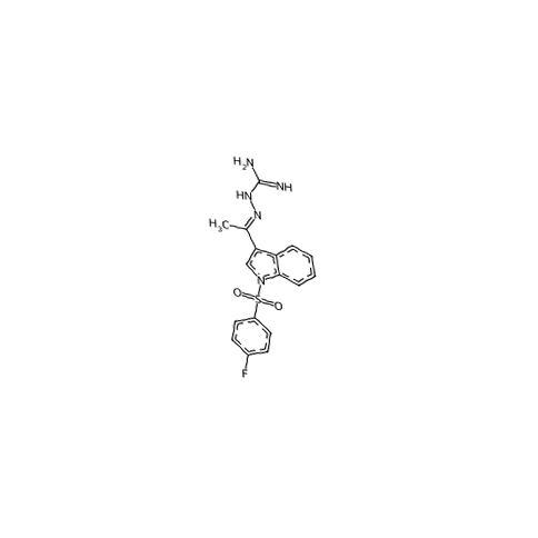 CC(=NNC(=N)N)c1cn(S(=O)(=O)c2ccc(F)cc2)c2ccccc12